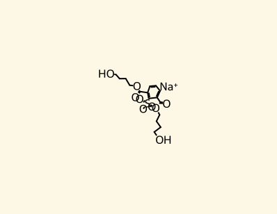 O=C(OCCCCO)c1cccc(C(=O)OCCCCO)c1S(=O)(=O)[O-].[Na+]